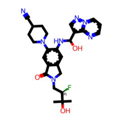 CC(C)(O)[C@H](F)CN1Cc2cc(NC(O)c3cnn4cccnc34)c(N3CCC(C#N)CC3)cc2C1=O